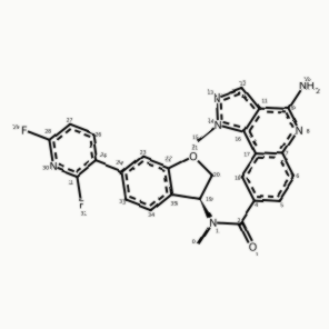 CN(C(=O)c1ccc2nc(N)c3cnn(C)c3c2c1)[C@@H]1COc2cc(-c3ccc(F)nc3F)ccc21